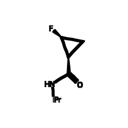 CC(C)NC(=O)[C@@H]1C[C@@H]1F